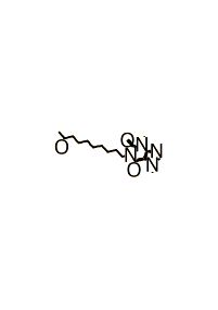 CC(=O)CCCCCCCCn1c(=O)c2c(ncn2C)n(C)c1=O